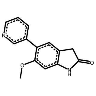 COc1cc2c(cc1-c1cccnc1)CC(=O)N2